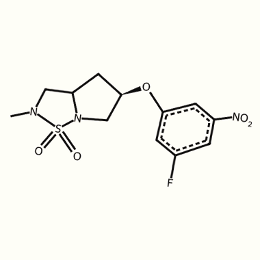 CN1CC2C[C@@H](Oc3cc(F)cc([N+](=O)[O-])c3)CN2S1(=O)=O